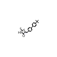 CC(C)(C)c1ccc(-c2ccc(/C=C3\SC(=S)NC3=O)cc2)cc1